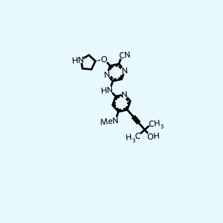 CNc1cc(Nc2cnc(C#N)c(O[C@@H]3CCNC3)n2)ncc1C#CC(C)(C)O